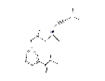 C=C(c1cccc(CN(C)C/C(C)=C/C#CC(C)C)c1)C(C)C